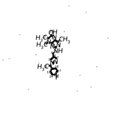 Cc1nc(NCc2cnn(C(C)c3ccc(F)cc3)c2)nc2c1NC(=O)[C@H](C)N2C